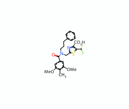 COc1cc(C(=O)N(CCCc2ccccc2)Cc2nc(C(=O)O)c(C(F)F)s2)cc(OC)c1C